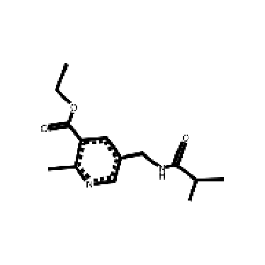 CCOC(=O)c1cc(CNC(=O)C(C)C)cnc1C